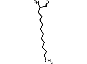 [2H]C(C=O)CCCCCCCCCCCC